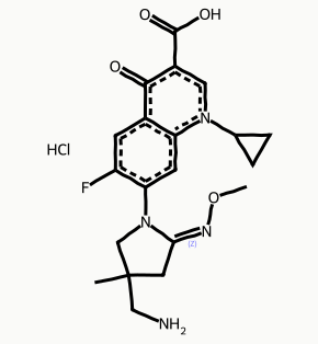 CO/N=C1/CC(C)(CN)CN1c1cc2c(cc1F)c(=O)c(C(=O)O)cn2C1CC1.Cl